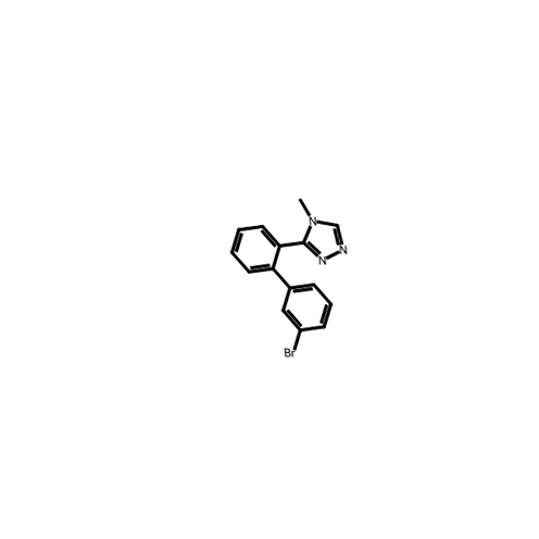 Cn1cnnc1-c1ccccc1-c1cccc(Br)c1